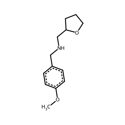 COc1ccc(CNCC2CCCO2)cc1